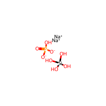 O=P([O-])([O-])O.O[Si](O)(O)O.[Na+].[Na+]